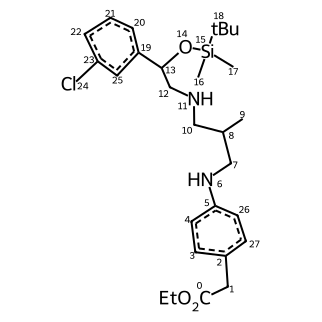 CCOC(=O)Cc1ccc(NCC(C)CNCC(O[Si](C)(C)C(C)(C)C)c2cccc(Cl)c2)cc1